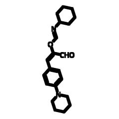 O=C/C(=C\c1ccc(N2CCCCC2)cc1)O/C=N/C1CCCCC1